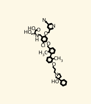 Cc1c(COc2cc(OCc3cncc(C#N)c3)c(CN[C@@H](CO)C(=O)O)cc2Cl)cccc1-c1cccc(OCCCN2CCC(O)(c3ccccc3)C2)c1C